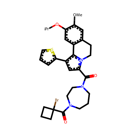 COc1cc2c(cc1OC(C)C)-c1c(-c3cccs3)cc(C(=O)N3CCCN(C(=O)C4(Br)CCC4)CC3)n1CC2